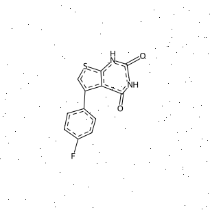 O=c1[nH]c(=O)c2c(-c3ccc(F)cc3)csc2[nH]1